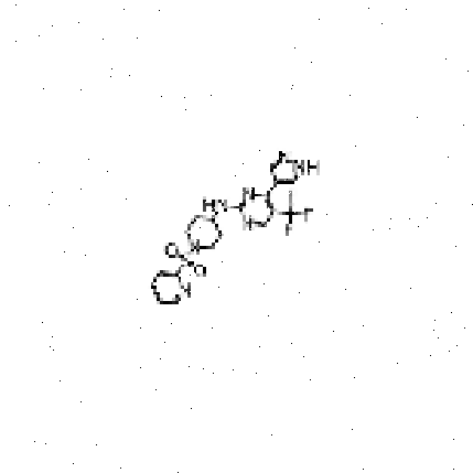 O=S(=O)(c1ccccn1)N1CCC(Nc2ncc(C(F)(F)F)c(-c3cn[nH]c3)n2)CC1